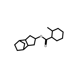 CC1CCCCC1C(=O)OC1CC2C3CCC(C3)C2C1